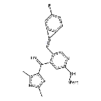 CCCCCNc1cc(C(=N)c2sc(C)nc2C)c(/C=C2\c3ccc(F)cc32)cn1